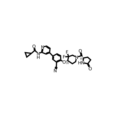 N#Cc1cc(-c2ccnc(NC(=O)C3CC3)c2)ccc1O[C@H]1CCN(C(=O)[C@@H]2CCC(=O)N2)CC1(F)F